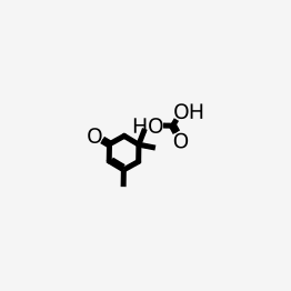 CC1=CC(=O)CC(C)(C)C1.O=C(O)O